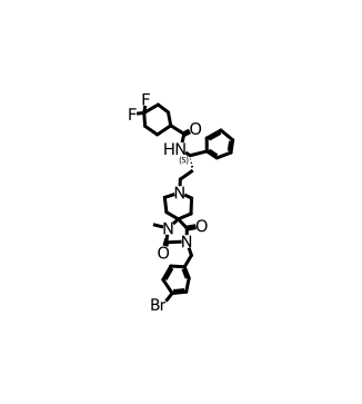 CN1C(=O)N(Cc2ccc(Br)cc2)C(=O)C12CCN(CC[C@H](NC(=O)C1CCC(F)(F)CC1)c1ccccc1)CC2